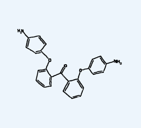 Nc1ccc(Oc2ccccc2C(=O)c2ccccc2Oc2ccc(N)cc2)cc1